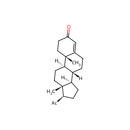 CC(=O)[C@@H]1CC[C@@H]2[C@H]3CCC4=CC(=O)CC[C@@]4(C)[C@@H]3CC[C@]21C